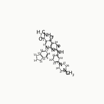 CNC(=O)c1cn(-c2ccc3c(c2)CCC3)c2nc(Nc3cccc(N4CCN(C)CC4)c3)ncc2c1=O